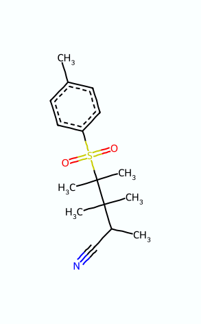 Cc1ccc(S(=O)(=O)C(C)(C)C(C)(C)C(C)C#N)cc1